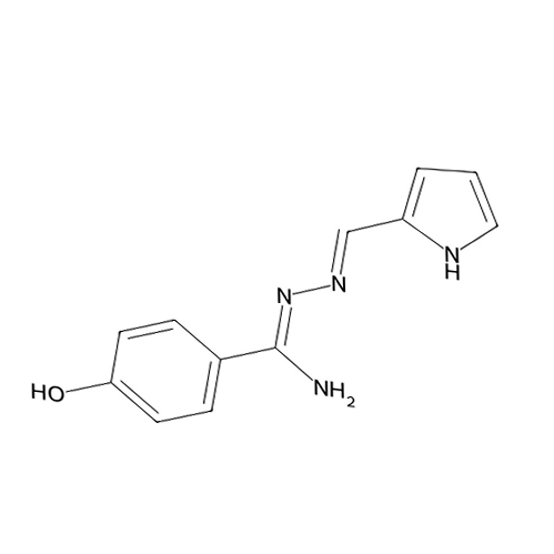 NC(=NN=Cc1ccc[nH]1)c1ccc(O)cc1